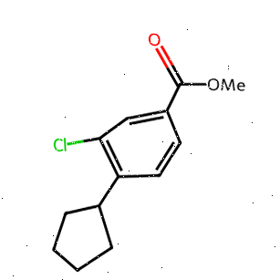 COC(=O)c1ccc(C2CCCC2)c(Cl)c1